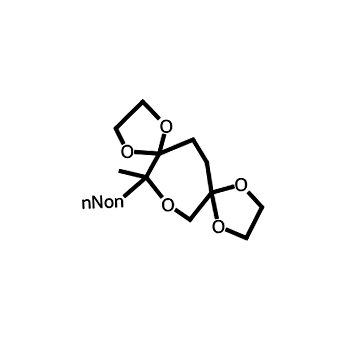 CCCCCCCCCC1(C)OCC2(CCC13OCCO3)OCCO2